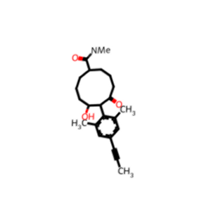 CC#Cc1cc(C)c(C2C(=O)CCCC(C(=O)NC)CCCC2O)c(C)c1